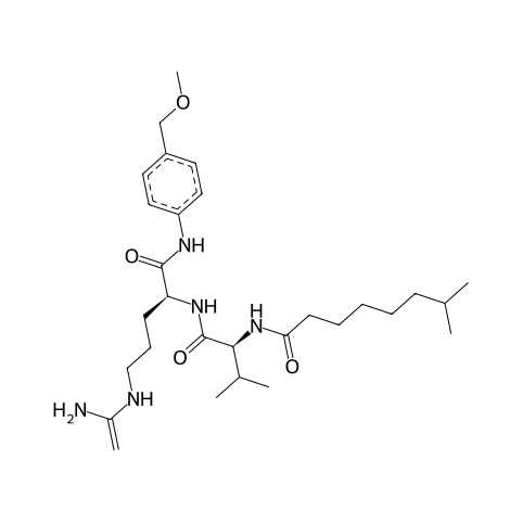 C=C(N)NCCC[C@H](NC(=O)[C@@H](NC(=O)CCCCCC(C)C)C(C)C)C(=O)Nc1ccc(COC)cc1